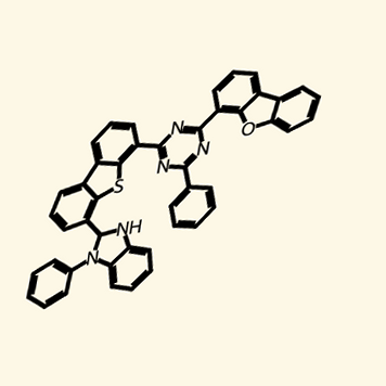 c1ccc(-c2nc(-c3cccc4c3oc3ccccc34)nc(-c3cccc4c3sc3c(C5Nc6ccccc6N5c5ccccc5)cccc34)n2)cc1